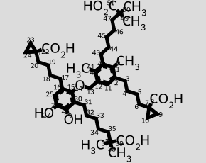 Cc1c(CCCCC2(C(=O)O)CC2)cc(COc2c(CCCCC3(C(=O)O)CC3)cc(O)c(O)c2CCCCCC(C)(C)C(=O)O)c(C)c1CCCCCC(C)(C)C(=O)O